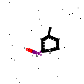 Cc1cccc([PH2]=O)c1